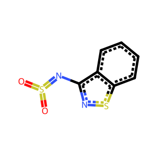 O=S(=O)=Nc1nsc2ccccc12